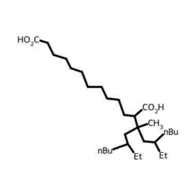 CCCCC(CC)CC(C)(CC(CC)CCCC)C(CCCCCCCCCCC(=O)O)C(=O)O